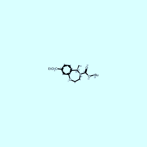 CCOC(=O)c1ccc2c(c1)OCCN(C(=O)OC(C)(C)C)[C@@H]2C